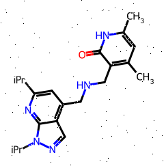 Cc1cc(C)c(CNCc2cc(C(C)C)nc3c2cnn3C(C)C)c(=O)[nH]1